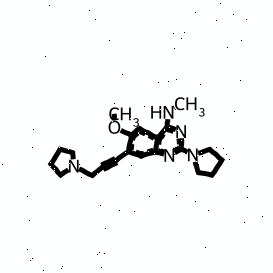 CNc1nc(N2CCCC2)nc2cc(C#CCN3CCCC3)c(OC)cc12